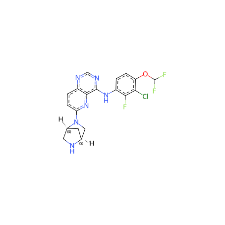 Fc1c(Nc2ncnc3ccc(N4C[C@@H]5C[C@H]4CN5)nc23)ccc(OC(F)F)c1Cl